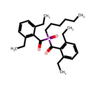 CCCCCCP(=O)(C(=O)c1c(CC)cccc1CC)C(=O)c1c(CC)cccc1CC